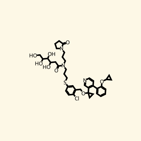 O=C1CCCN1CCCN(CCCSc1ccc(Cl)c(COC2(c3cnccc3-c3ccccc3OC3CC3)CC2)c1)C(=O)CC(O)C(O)C(O)CO